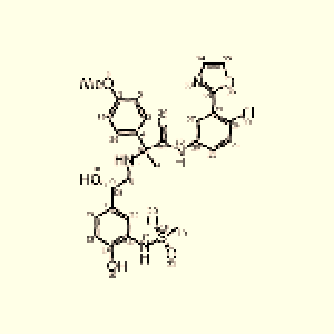 COc1ccc(C(C)(NC[C@@H](O)c2ccc(O)c(NS(C)(=O)=O)c2)C(=O)Nc2ccc(Cl)c(-c3ncco3)c2)cc1